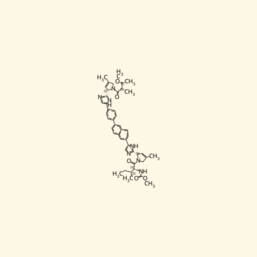 CC[C@H](C)[C@H](NC(=O)OC)C(=O)N1CC(C)=C[C@H]1c1ncc(-c2ccc3cc(-c4ccc(-c5cnc([C@@H]6C=C(C)CN6C(=O)[C@@H](C)[C@@H](C)OC)[nH]5)cc4)ccc3c2)[nH]1